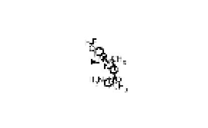 C[C@H]1CC[C@@H](N)CN1C(=O)c1cnc2c(c1)nc(-c1cc3ccc(OC(F)F)nc3n1CC1CC1)n2C